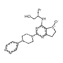 CC(C)[C@H](CO)Nc1nc(N2CCN(c3ccnnc3)CC2)nc2c1[S+]([O-])CC2